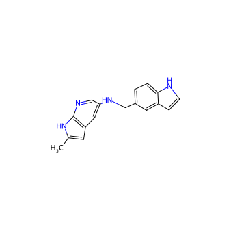 Cc1cc2cc(NCc3ccc4[nH]ccc4c3)cnc2[nH]1